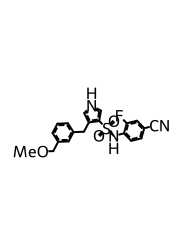 COCc1cccc(Cc2c[nH]cc2S(=O)(=O)Nc2ccc(C#N)cc2F)c1